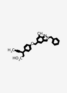 CC#CC(CC(=O)O)c1ccc(OCc2cc(C)c3nn(Cc4ccccc4)cc3c2)cc1